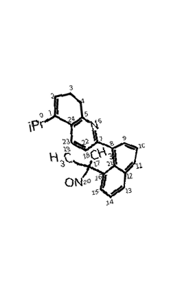 CC(C)C1=CCCc2nc(-c3cccc4cccc(C(C)(C)N=O)c34)ccc21